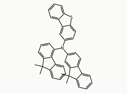 CC1(C)c2ccccc2-c2ccc(N(c3ccc4sc5ccccc5c4c3)c3cccc4c3-c3ccccc3C4(C)C)cc21